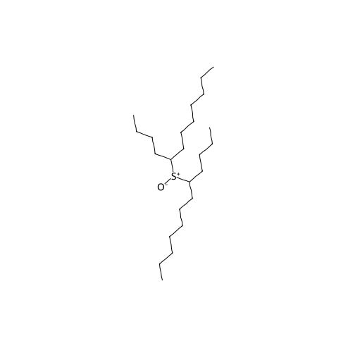 CCCCCCCC(CCCC)[S+]([O-])C(CCCC)CCCCCCC